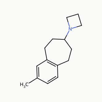 Cc1ccc2c(c1)CCC(N1CCC1)CC2